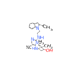 Cc1cc2ccccc2n1CCNc1ncc(C#N)c(N[C@@H]2C[C@H](O)C2(C)C)n1